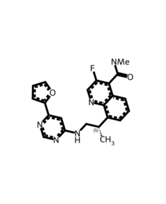 CNC(=O)c1c(F)cnc2c([C@H](C)CNc3cc(-c4ccco4)ncn3)cccc12